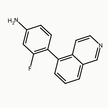 Nc1ccc(-c2cccc3cnccc23)c(F)c1